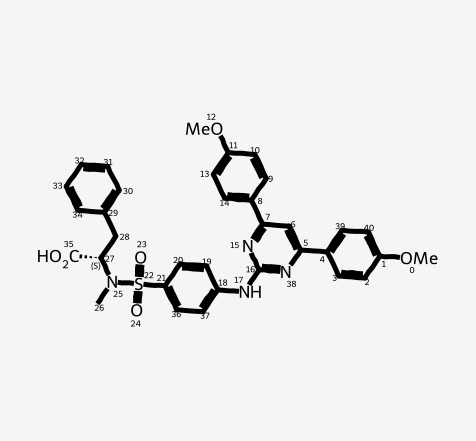 COc1ccc(-c2cc(-c3ccc(OC)cc3)nc(Nc3ccc(S(=O)(=O)N(C)[C@@H](Cc4ccccc4)C(=O)O)cc3)n2)cc1